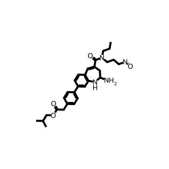 CCCN(CCCN=O)C(=O)C1=Cc2ccc(-c3ccc(CC(=O)OCC(C)C)cc3)cc2NC(N)C1